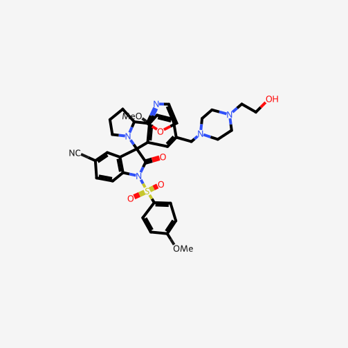 COc1ccc(S(=O)(=O)N2C(=O)C(c3cc(CN4CCN(CCO)CC4)ccc3OC)(N3CCCC3c3ncco3)c3cc(C#N)ccc32)cc1